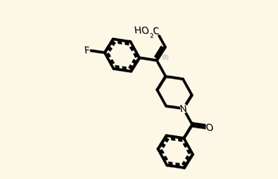 O=C(O)/C=C(\c1ccc(F)cc1)C1CCN(C(=O)c2ccccc2)CC1